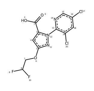 O=C(O)c1cc(OCC(F)F)nn1-c1ncc(Cl)cc1Cl